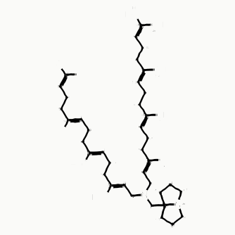 CC(C)=CCC/C(C)=C/CC/C(C)=C/CC/C(C)=C/CN(C/C=C(\C)CC/C=C(\C)CC/C=C(\C)CCC=C(C)C)CC12CCCN1CCC2